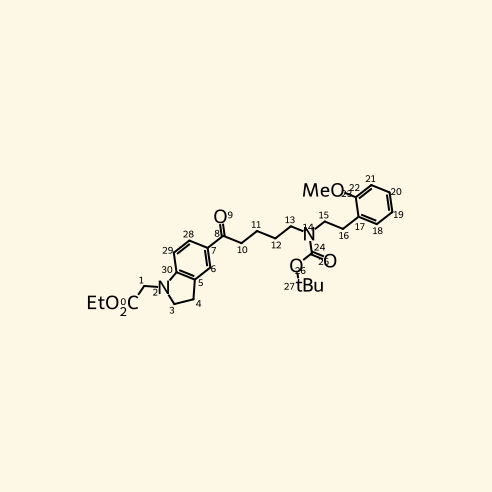 CCOC(=O)CN1CCc2cc(C(=O)CCCCN(CCc3ccccc3OC)C(=O)OC(C)(C)C)ccc21